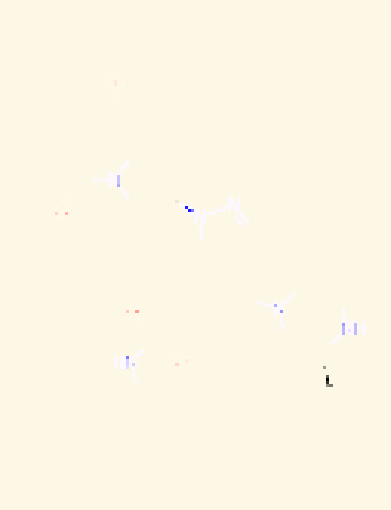 C=CC(=O)N1C[C@H](n2ncc3c(N4C[C@H](C)N[C@@H](C)C4)cc(S(=O)(=O)NC4(C)CC4)cc32)C[C@H]1C(C)(C)O